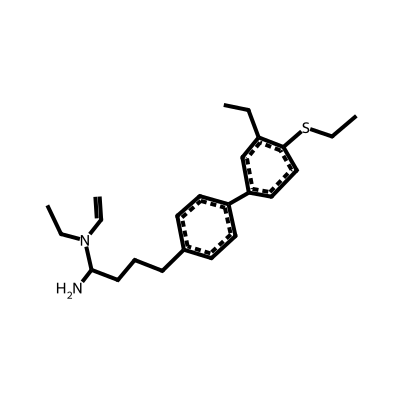 C=CN(CC)C(N)CCCc1ccc(-c2ccc(SCC)c(CC)c2)cc1